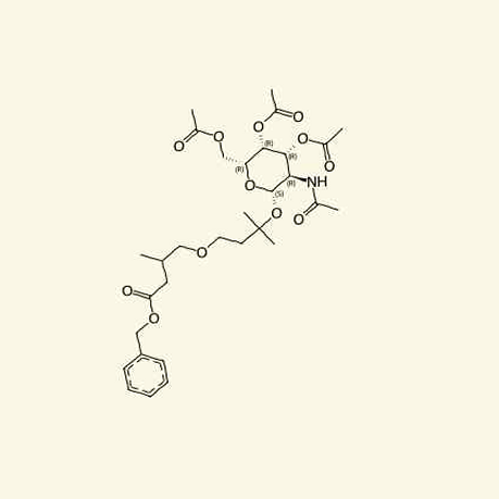 CC(=O)N[C@H]1[C@H](OC(C)(C)CCOCC(C)CC(=O)OCc2ccccc2)O[C@H](COC(C)=O)[C@H](OC(C)=O)[C@@H]1OC(C)=O